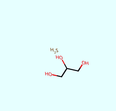 OCC(O)CO.S